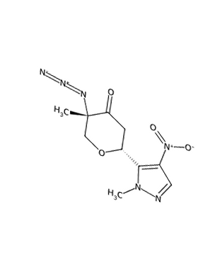 Cn1ncc([N+](=O)[O-])c1[C@H]1CC(=O)[C@@](C)(N=[N+]=[N-])CO1